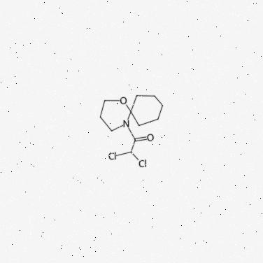 O=C(C(Cl)Cl)N1CCCOC12CCCCC2